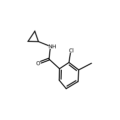 Cc1cccc(C(=O)NC2CC2)c1Cl